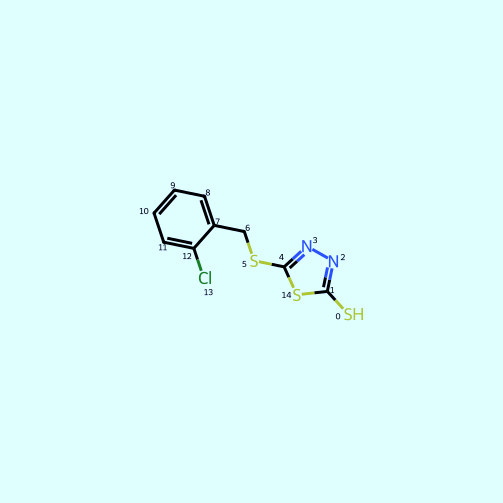 Sc1nnc(SCc2ccccc2Cl)s1